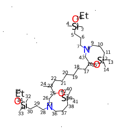 CCO[Si](C)(C)CCCN1CCC[Si](C)(C)OC(CCCCCCC(C)C2CN(CCC[Si](C)(C)OCC)CCC[Si](C)(C)O2)C1